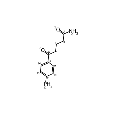 NC(=O)CCCC(=O)c1ccc(P)cc1